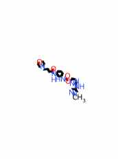 Cn1cc(Nc2nccc(OC(=O)Nc3cccc(NC(=O)/C=C/CN4CCOCC4)c3)n2)cn1